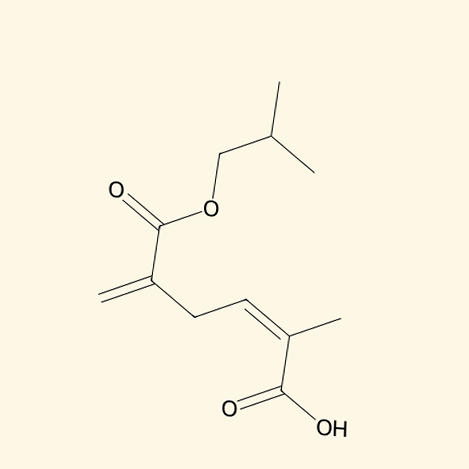 C=C(CC=C(C)C(=O)O)C(=O)OCC(C)C